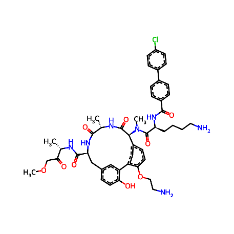 COCC(=O)[C@H](C)NC(=O)[C@@H]1Cc2ccc(O)c(c2)-c2cc(ccc2OCCN)[C@H](N(C)C(=O)[C@H](CCCCN)NC(=O)c2ccc(-c3ccc(Cl)cc3)cc2)C(=O)N[C@@H](C)C(=O)N1